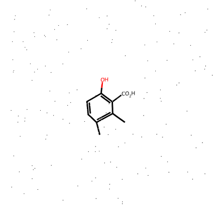 Cc1ccc(O)c(C(=O)O)c1C